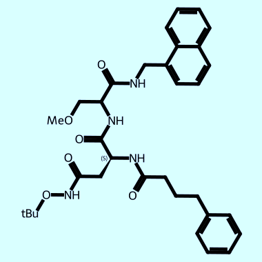 COCC(NC(=O)[C@H](CC(=O)NOC(C)(C)C)NC(=O)CCCc1ccccc1)C(=O)NCc1cccc2ccccc12